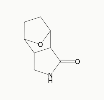 O=C1NCC2C3CCC(O3)C12